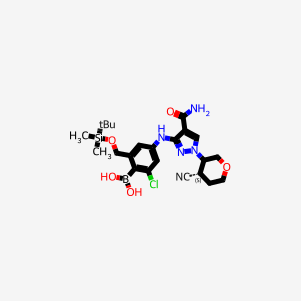 CC(C)(C)[Si](C)(C)OCc1cc(Nc2nn(C3COCC[C@@H]3C#N)cc2C(N)=O)cc(Cl)c1B(O)O